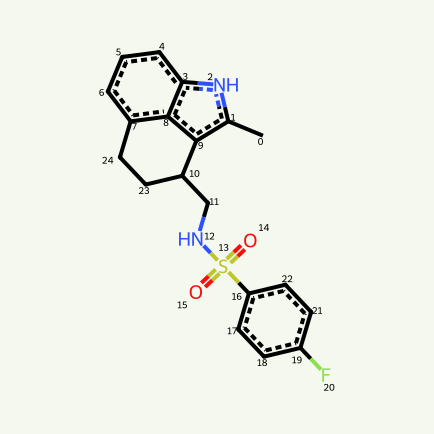 Cc1[nH]c2cccc3c2c1C(CNS(=O)(=O)c1ccc(F)cc1)CC3